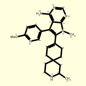 COc1ccc(-c2c(C3=CCC4(CCNC(C)C4)CC3)n(C)c3ncnc(N)c23)cn1